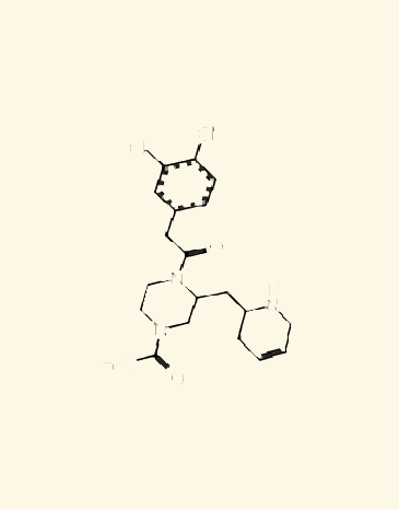 CC(=O)N1CCN(C(=O)Cc2ccc(Cl)c(Cl)c2)C(CC2CC=CCN2)C1